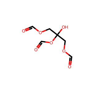 O=COCC(O)(COC=O)OC=O